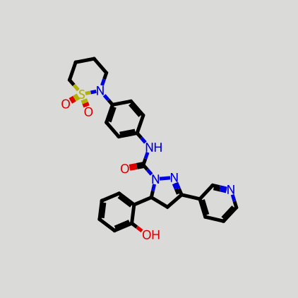 O=C(Nc1ccc(N2CCCCS2(=O)=O)cc1)N1N=C(c2cccnc2)CC1c1ccccc1O